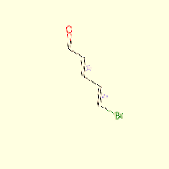 O=C/C=C/C=C/Br